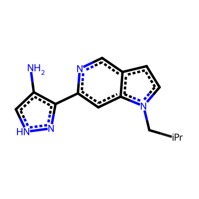 CC(C)Cn1ccc2cnc(-c3n[nH]cc3N)cc21